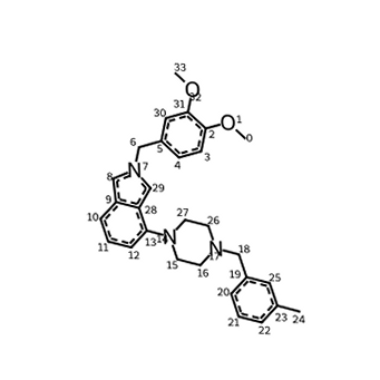 COc1ccc(Cn2cc3cccc(N4CCN(Cc5cccc(C)c5)CC4)c3c2)cc1OC